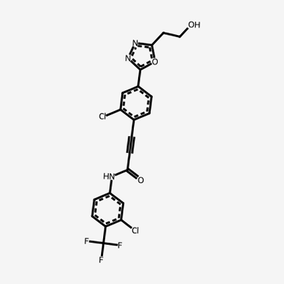 O=C(C#Cc1ccc(-c2nnc(CCO)o2)cc1Cl)Nc1ccc(C(F)(F)F)c(Cl)c1